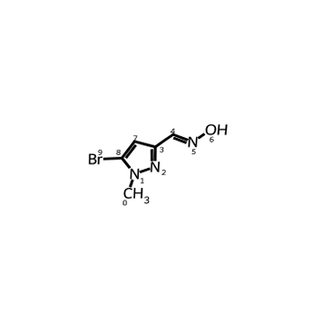 Cn1nc(C=NO)cc1Br